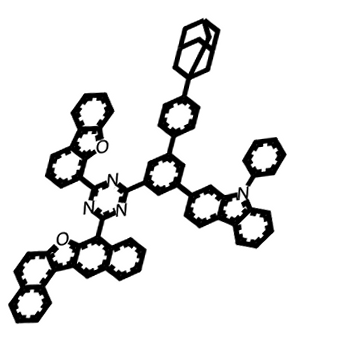 c1ccc(-n2c3ccccc3c3ccc(-c4cc(-c5ccc(C67CC8CC(CC(C8)C6)C7)cc5)cc(-c5nc(-c6cccc7c6oc6ccccc67)nc(-c6c7ccccc7cc7c6oc6ccc8ccccc8c67)n5)c4)cc32)cc1